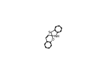 C1=CC2(Nc3ccccc3[Se]2)Oc2ccccc21